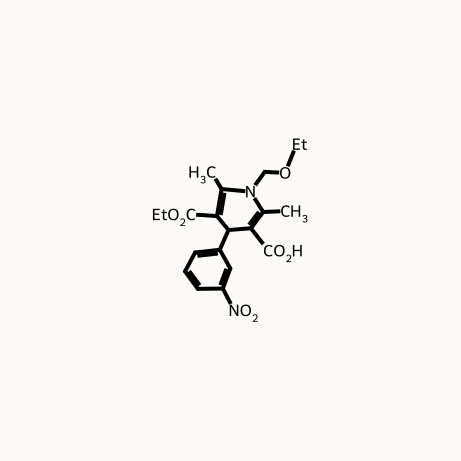 CCOCN1C(C)=C(C(=O)O)C(c2cccc([N+](=O)[O-])c2)C(C(=O)OCC)=C1C